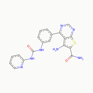 NC(=O)c1sc2ncnc(-c3cccc(NC(=O)Nc4ccccn4)c3)c2c1N